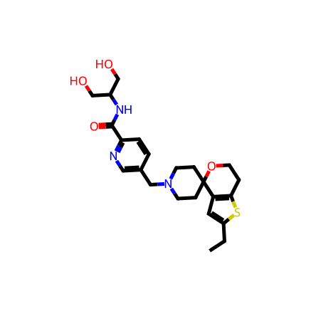 CCc1cc2c(s1)CCOC21CCN(Cc2ccc(C(=O)NC(CO)CO)nc2)CC1